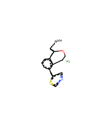 CNCC1OCCc2c(-c3cncs3)cccc21.Cl